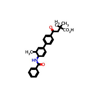 CC1C=C(c2ccc(C(=O)CC(C)(C)C(=O)O)cc2)C=CC1NC(=O)c1ccccc1